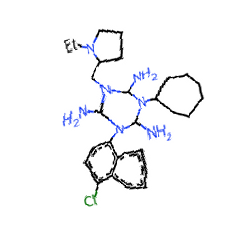 CCN1CCCC1CN1C(N)N(c2ccc(Cl)c3ccccc23)C(N)N(C2CCCCCC2)C1N